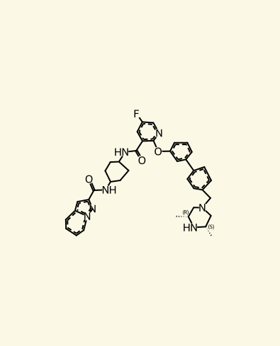 C[C@@H]1CN(Cc2ccc(-c3cccc(Oc4ncc(F)cc4C(=O)NC4CCC(NC(=O)c5cc6ccccn6n5)CC4)c3)cc2)C[C@H](C)N1